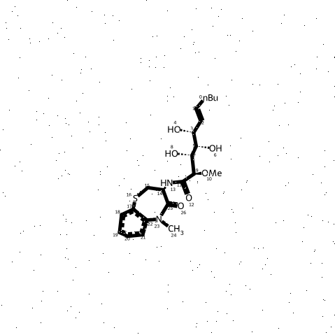 CCCCC=C[C@@H](O)[C@H](O)[C@@H](O)[C@@H](OC)C(=O)N[C@H]1CSc2ccccc2N(C)C1=O